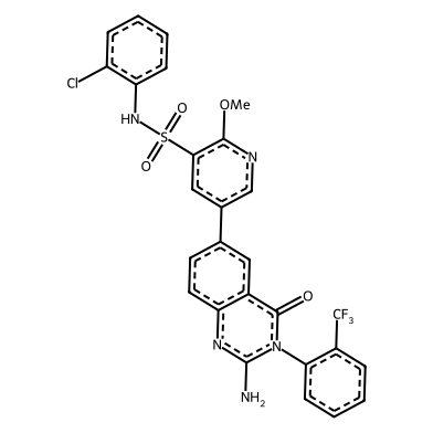 COc1ncc(-c2ccc3nc(N)n(-c4ccccc4C(F)(F)F)c(=O)c3c2)cc1S(=O)(=O)Nc1ccccc1Cl